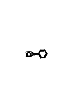 C1=NN2C1C2c1ccccc1